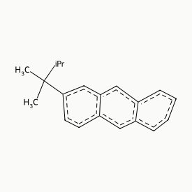 CC(C)C(C)(C)c1ccc2cc3ccccc3cc2c1